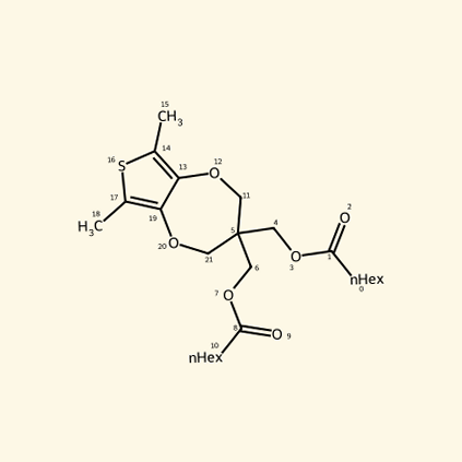 CCCCCCC(=O)OCC1(COC(=O)CCCCCC)COc2c(C)sc(C)c2OC1